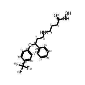 O=C(CCCNCCC(Oc1ccc(C(F)(F)F)cc1)c1ccccc1)NO